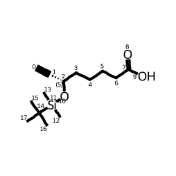 C#C[C@H](CCCCC(=O)O)O[Si](C)(C)C(C)(C)C